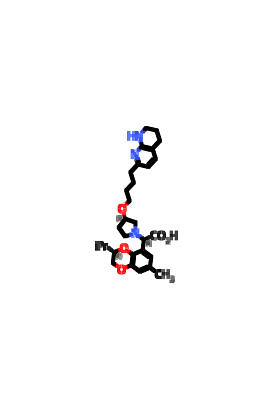 Cc1cc2c(c([C@H](C(=O)O)N3CC[C@@H](OCCCCc4ccc5c(n4)NCCC5)C3)c1)O[C@H](C(C)C)CO2